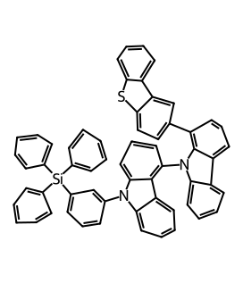 c1ccc([Si](c2ccccc2)(c2ccccc2)c2cccc(-n3c4ccccc4c4c(-n5c6ccccc6c6cccc(-c7ccc8sc9ccccc9c8c7)c65)cccc43)c2)cc1